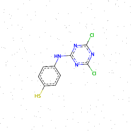 Sc1ccc(Nc2nc(Cl)nc(Cl)n2)cc1